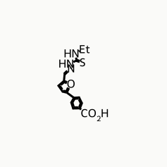 CCNC(=S)NN=Cc1ccc(-c2ccc(C(=O)O)cc2)o1